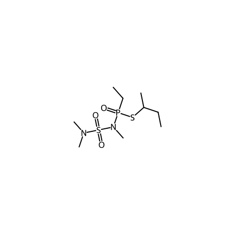 CCC(C)SP(=O)(CC)N(C)S(=O)(=O)N(C)C